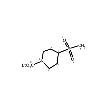 CCOC(=O)N1CCC(S(C)(=O)=O)CC1